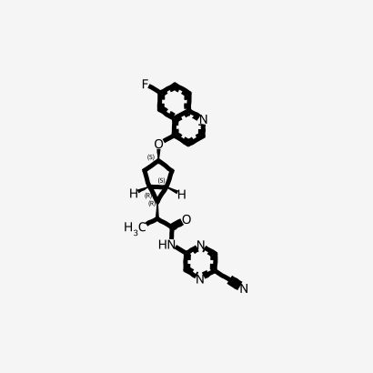 CC(C(=O)Nc1cnc(C#N)cn1)[C@H]1[C@@H]2C[C@@H](Oc3ccnc4ccc(F)cc34)C[C@@H]21